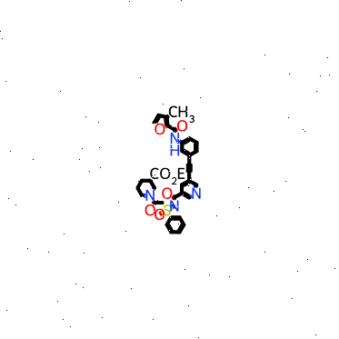 CCOC(=O)C1CCCN(C(=O)C[S@@](=O)(=NC(=O)c2cncc(C#Cc3cccc(NC(=O)c4occc4C)c3)c2)c2ccccc2)C1